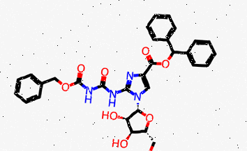 O=C(NC(=O)OCc1ccccc1)Nc1nc(C(=O)OC(c2ccccc2)c2ccccc2)cn1[C@@H]1O[C@H](CO)[C@@H](O)[C@H]1O